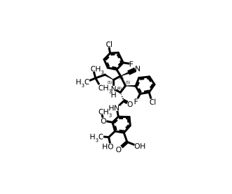 COc1c(NC(=O)[C@@H]2N[C@@H](CC(C)(C)C)[C@](C#N)(c3ccc(Cl)cc3F)[C@H]2c2cccc(Cl)c2F)ccc(C(=O)O)c1C(C)O